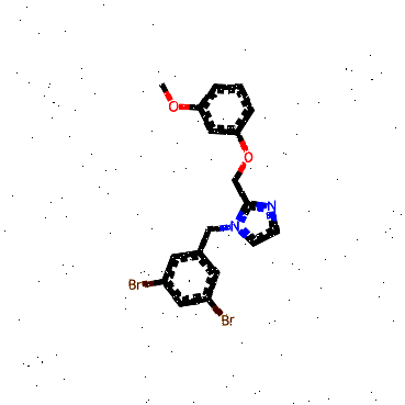 COc1cccc(OCc2nccn2Cc2cc(Br)cc(Br)c2)c1